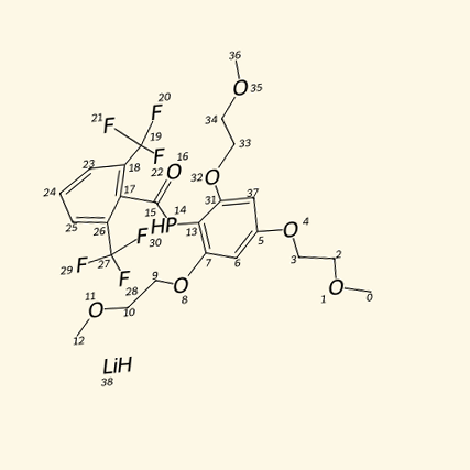 COCCOc1cc(OCCOC)c(PC(=O)c2c(C(F)(F)F)cccc2C(F)(F)F)c(OCCOC)c1.[LiH]